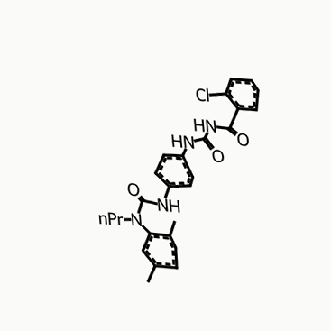 CCCN(C(=O)Nc1ccc(NC(=O)NC(=O)c2ccccc2Cl)cc1)c1cc(C)ccc1C